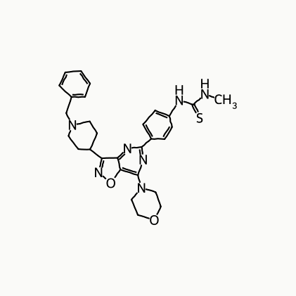 CNC(=S)Nc1ccc(-c2nc(N3CCOCC3)c3onc(C4CCN(Cc5ccccc5)CC4)c3n2)cc1